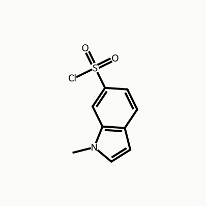 Cn1ccc2ccc(S(=O)(=O)Cl)cc21